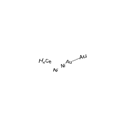 [Au][Au].[GeH4].[Ni].[Ni]